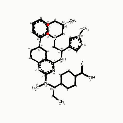 CC[C@H](C1CCC(C(=O)O)CC1)N(C)c1nc2c(c(N[C@@H](CN3CCC[C@H](O)C3)c3cnn(C)c3)n1)C[C@H](c1ccccc1)CC2